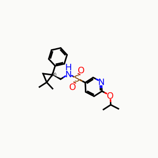 CC(C)Oc1ccc(S(=O)(=O)NC[C@]2(c3ccccc3)CC2(C)C)cn1